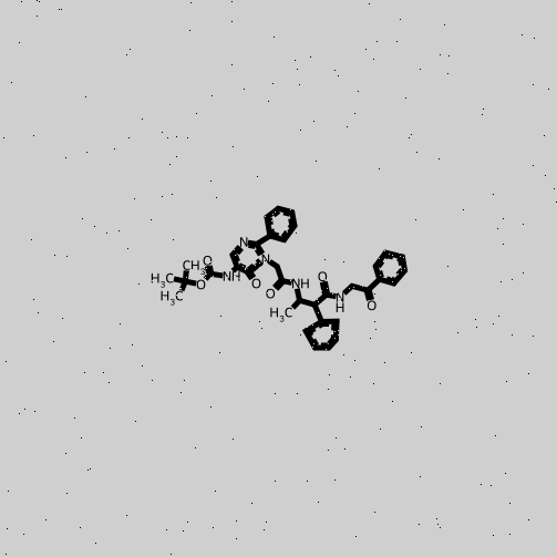 CC(NC(=O)Cn1c(-c2ccccc2)ncc(NC(=O)OC(C)(C)C)c1=O)C(C(=O)NCC(=O)c1ccccc1)c1ccccc1